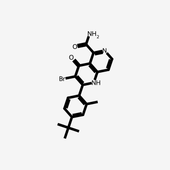 Cc1cc(C(C)(C)C)ccc1-c1[nH]c2ccnc(C(N)=O)c2c(=O)c1Br